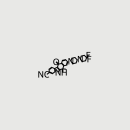 CC1(C)c2cc(N3CCC(N4CCC(F)(F)CC4)CC3)ccc2C(=O)c2c1[nH]c1cc(C#N)ccc21